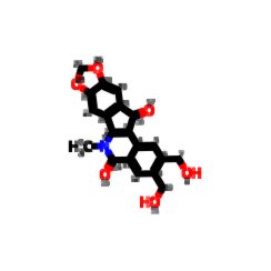 Cn1c2c(c3cc(CO)c(CO)cc3c1=O)C(=O)c1cc3c(cc1-2)OCO3